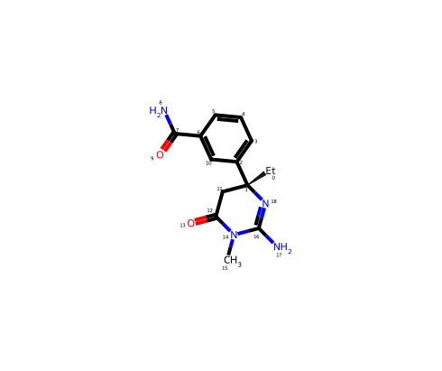 CC[C@]1(c2cccc(C(N)=O)c2)CC(=O)N(C)C(N)=N1